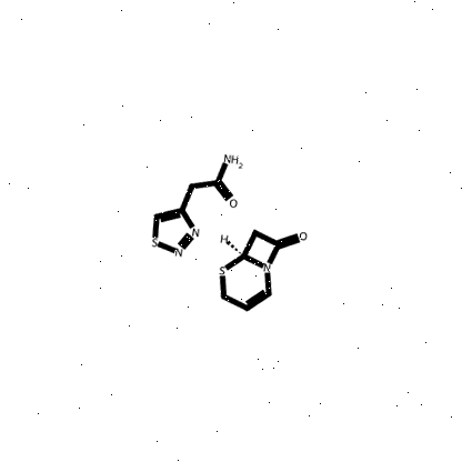 NC(=O)Cc1csnn1.O=C1C[C@@H]2SCC=CN12